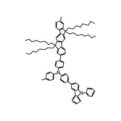 CCCCCCCCC1(CCCCCCCC)c2cc(C)ccc2-c2cc3c(cc21)-c1ccc(-c2ccc(N(c4ccc(C)cc4)c4ccc(-c5ccc6c(c5)c5ccccc5n6-c5ccccc5)cc4)cc2)cc1C3(CCCCCCCC)CCCCCCCC